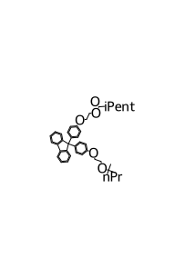 CCCC(C)C(=O)OCCOc1ccc(C2(c3ccc(OCCOC(C)(C)CCC)cc3)c3ccccc3-c3ccccc32)cc1